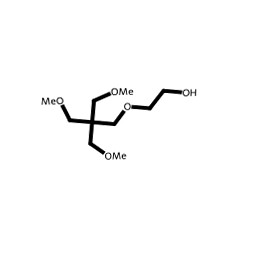 COCC(COC)(COC)COCCO